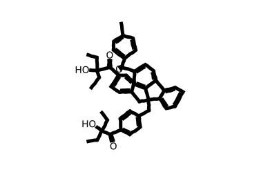 CCC(O)(CC)C(=O)c1ccc(CC2(Cc3ccc(C(=O)C(O)(CC)CC)cc3)c3ccccc3-c3ccc(C(=O)c4ccc(C)cc4)cc32)cc1